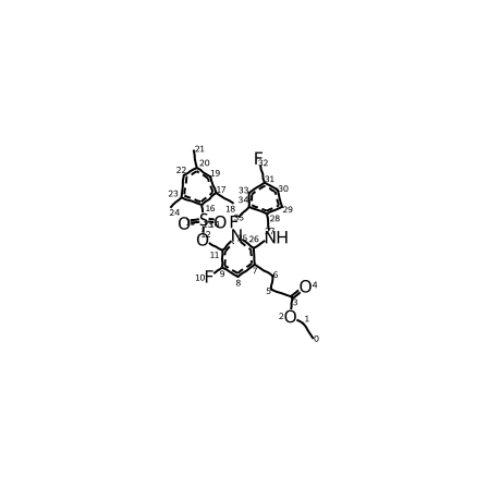 CCOC(=O)CCc1cc(F)c(OS(=O)(=O)c2c(C)cc(C)cc2C)nc1Nc1ccc(F)cc1F